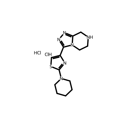 Cl.Cl.c1sc(N2CCCCC2)nc1-c1nnc2n1CCNC2